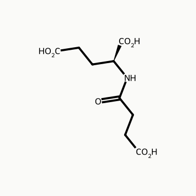 O=C(O)CCC(=O)N[C@@H](CCC(=O)O)C(=O)O